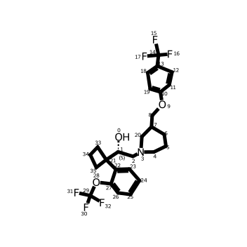 O[C@H](CN1CCCC(COc2ccc(C(F)(F)F)cc2)C1)C1(c2ccccc2OC(F)(F)F)CCC1